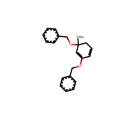 COC1(OCc2ccccc2)C=C(OCc2ccccc2)C=[C]C1